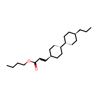 CCCCOC(=O)C=C[C@H]1CC[C@H]([C@H]2CC[C@H](CCC)CC2)CC1